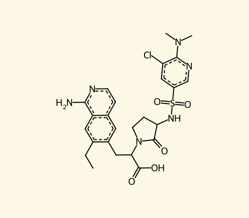 CCc1cc2c(N)nccc2cc1CC(C(=O)O)N1CCC(NS(=O)(=O)c2cnc(N(C)C)c(Cl)c2)C1=O